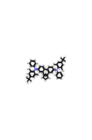 Cc1cc(C(C)(C)C)cc(C)c1N(c1ccccc1)c1ccc2c(c1)C13CCCC1(CCC3)c1cc(N(c3ccccc3)c3c(C)cc(C(C)(C)C)cc3C)ccc1-2